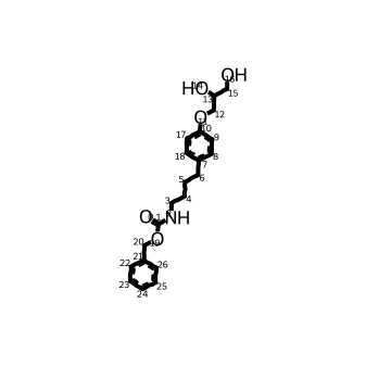 O=C(NCCCCc1ccc(OCC(O)CO)cc1)OCc1ccccc1